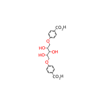 O=C(O)c1ccc(OCC(O)C(O)C(O)COc2ccc(C(=O)O)cc2)cc1